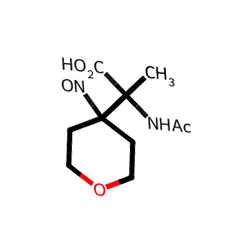 CC(=O)NC(C)(C(=O)O)C1(N=O)CCOCC1